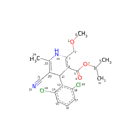 COCC1=C(C(=O)OC(C)C)C(c2c(Cl)cccc2Cl)C(C#N)=C(C)N1